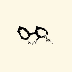 Nc1c(-c2ccccc2)ccc[n+]1N